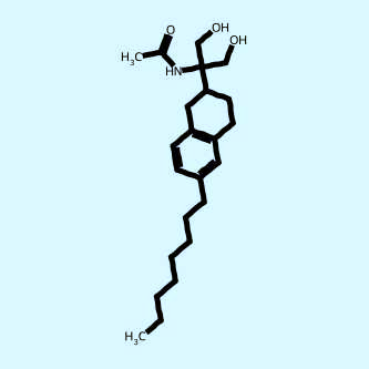 CCCCCCCCc1ccc2c(c1)CCC(C(CO)(CO)NC(C)=O)C2